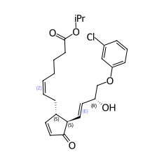 CC(C)OC(=O)CCC/C=C\C[C@H]1C=CC(=O)[C@@H]1/C=C/[C@@H](O)COc1cccc(Cl)c1